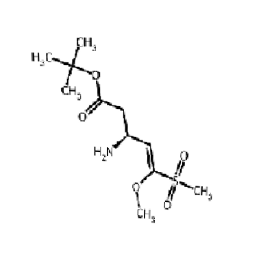 CO/C(=C\[C@@H](N)CC(=O)OC(C)(C)C)S(C)(=O)=O